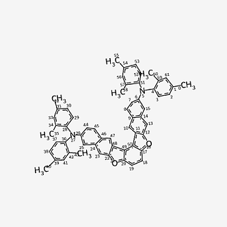 Cc1ccc(N(c2ccc3cc4c(cc3c2)oc2ccc3oc5cc6cc(N(c7ccc(C)cc7C)c7ccc(C)cc7C)ccc6cc5c3c24)c2ccc(C)cc2C)c(C)c1